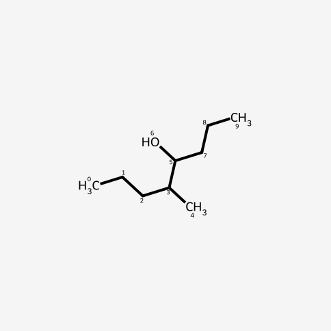 CCCC(C)C(O)CCC